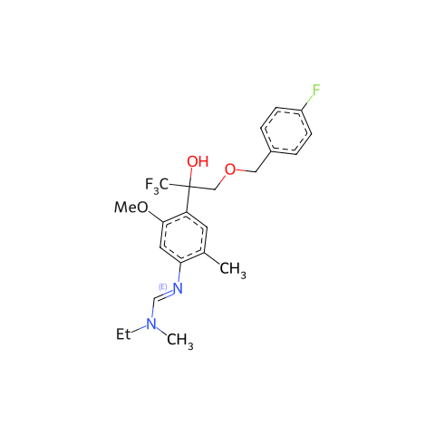 CCN(C)/C=N/c1cc(OC)c(C(O)(COCc2ccc(F)cc2)C(F)(F)F)cc1C